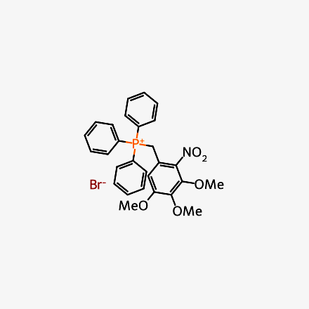 COc1cc(C[P+](c2ccccc2)(c2ccccc2)c2ccccc2)c([N+](=O)[O-])c(OC)c1OC.[Br-]